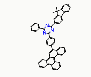 CC1(C)c2ccccc2-c2ccc(-c3nc(-c4ccccc4)nc(-c4ccc(-c5cc6c7ccccc7c7ccccc7c6c6ccccc56)cc4)n3)cc21